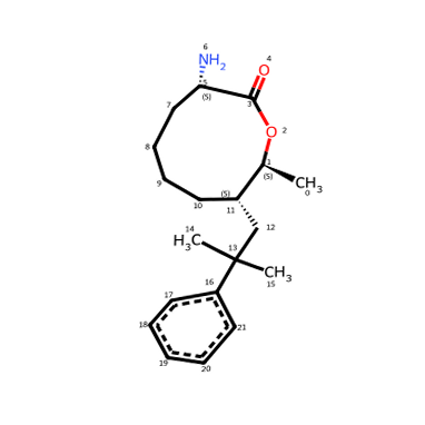 C[C@@H]1OC(=O)[C@@H](N)CCCC[C@H]1CC(C)(C)c1ccccc1